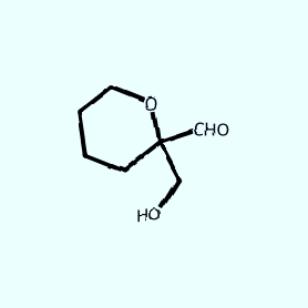 O=CC1(CO)CCCCO1